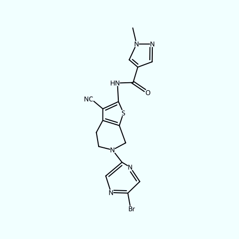 Cn1cc(C(=O)Nc2sc3c(c2C#N)CCN(c2cnc(Br)cn2)C3)cn1